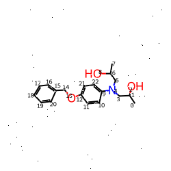 CC(O)CN(CC(C)O)c1ccc(OCc2ccccc2)cc1